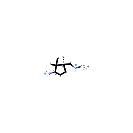 CC1(C)[C@H](N)CC[C@]1(C)CNC(=O)O